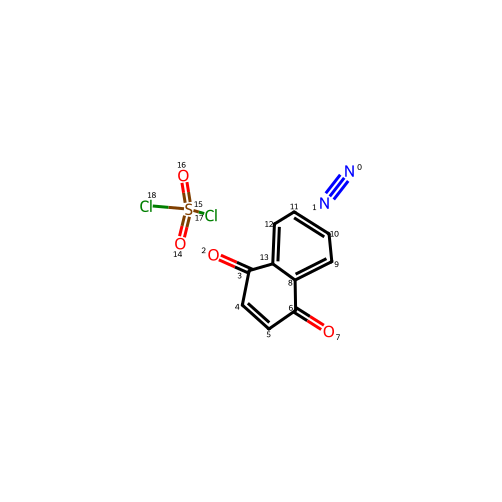 N#N.O=C1C=CC(=O)c2ccccc21.O=S(=O)(Cl)Cl